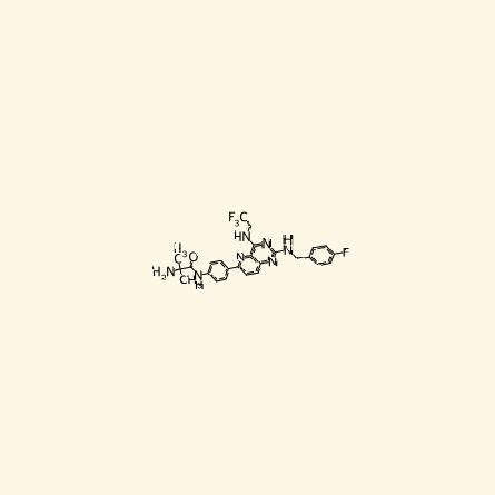 CC(C)(N)C(=O)Nc1ccc(-c2ccc3nc(NCc4ccc(F)cc4)nc(NCC(F)(F)F)c3n2)cc1